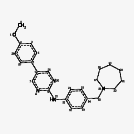 COc1ccc(-c2cnc(Nc3ccc(CN4CCCCCC4)cc3)nc2)cc1